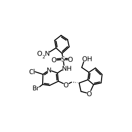 O=[N+]([O-])c1ccccc1S(=O)(=O)Nc1nc(Cl)c(Br)cc1OC[C@H]1COc2cccc(CO)c21